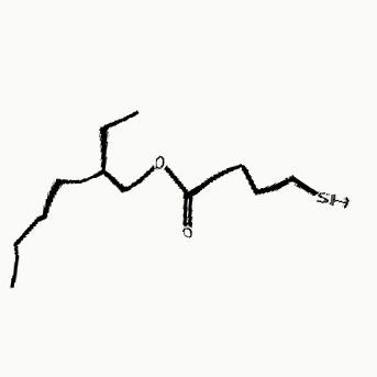 CCCCC(CC)COC(=O)CCCS